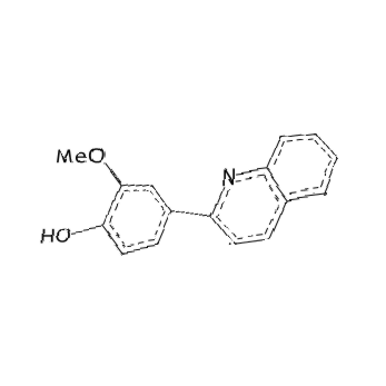 COc1cc(-c2[c]cc3ccccc3n2)ccc1O